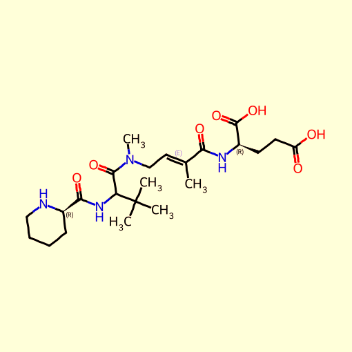 C/C(=C\CN(C)C(=O)C(NC(=O)[C@H]1CCCCN1)C(C)(C)C)C(=O)N[C@H](CCC(=O)O)C(=O)O